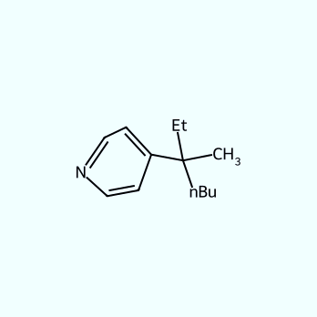 CCCCC(C)(CC)c1ccncc1